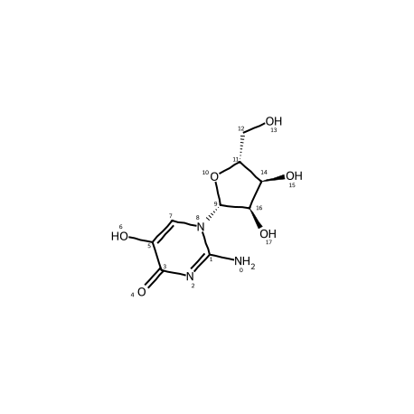 Nc1nc(=O)c(O)cn1[C@@H]1O[C@H](CO)[C@@H](O)[C@H]1O